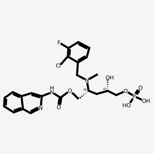 CN(Cc1cccc(F)c1Cl)[C@@H](COC(=O)Nc1cc2ccccc2cn1)C[C@H](O)COP(=O)(O)O